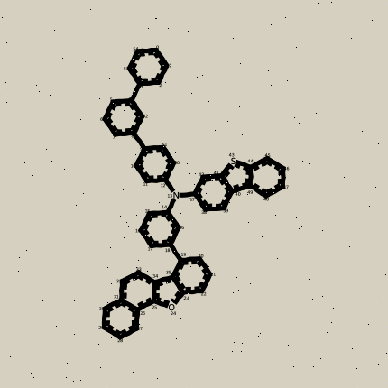 c1ccc(-c2cccc(-c3ccc(N(c4cccc(-c5cccc6oc7c8ccccc8ccc7c56)c4)c4ccc5c(c4)sc4ccccc45)cc3)c2)cc1